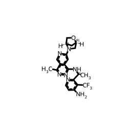 Cc1nnc(N[C@H](C)c2nccc(N)c2C(F)(F)F)c2cc(N3C[C@H]4C[C@@H]3CO4)ncc12